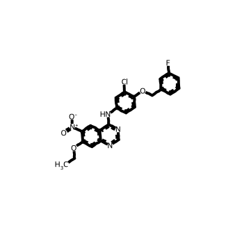 CCOc1cc2ncnc(Nc3ccc(OCc4cccc(F)c4)c(Cl)c3)c2cc1[N+](=O)[O-]